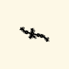 C=C(C)C(=O)O/C=C/Oc1ccc(-c2ccc(C#Cc3cc(OC(=O)C(=C)C)c(C#Cc4ccc(OCOC(=O)C(=C)C)cc4)c(OC(=O)C(=C)C)c3CCCF)cc2)cc1